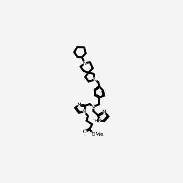 COC(=O)CCCn1ccnc1CN(Cc1ccc(CN2CCC3(CCN(C4CCCCC4)CC3)C2)cc1)Cc1ncc[nH]1